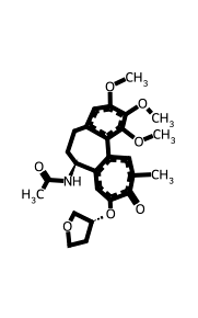 COc1cc2c(c(OC)c1OC)-c1cc(C)c(=O)c(O[C@@H]3CCOC3)cc1[C@@H](NC(C)=O)CC2